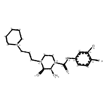 C[C@H]1C(=O)N(CCCN2CCCCC2)CCN1C(=O)Nc1ccc(F)c(Cl)c1